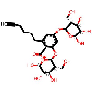 C#CCCCCc1cc(OC2O[C@H](O)[C@@H](O)[C@H](O)[C@H]2CO)cc(OC2O[C@H](O)[C@@H](O)[C@H](O)[C@H]2CO)c1C(=O)O